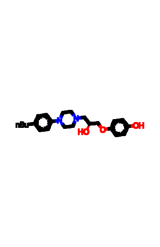 CCCCc1ccc(N2CCN(C[C@@H](O)COc3ccc(O)cc3)CC2)cc1